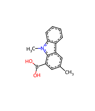 Cc1cc(B(O)O)c2c(c1)c1ccccc1n2C